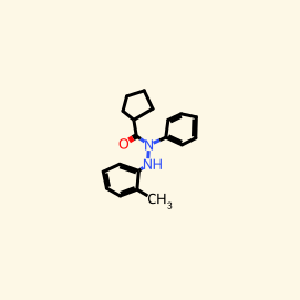 Cc1ccccc1NN(C(=O)C1CCCC1)c1ccccc1